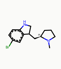 CN1CCC[C@@H]1CC1CNc2ccc(Br)cc21